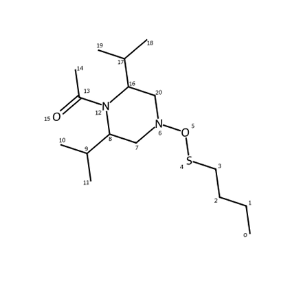 CCCCSON1CC(C(C)C)N(C(C)=O)C(C(C)C)C1